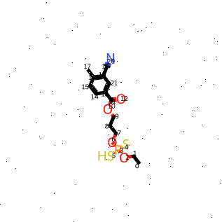 CCOP(=S)(S)OCCCOC(=O)c1ccc(C)c(C#N)c1